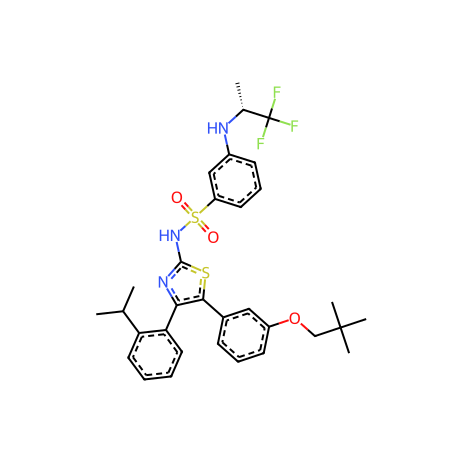 CC(C)c1ccccc1-c1nc(NS(=O)(=O)c2cccc(N[C@H](C)C(F)(F)F)c2)sc1-c1cccc(OCC(C)(C)C)c1